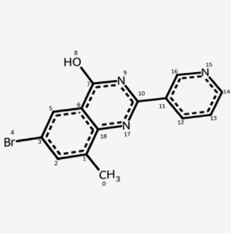 Cc1cc(Br)cc2c(O)nc(-c3cccnc3)nc12